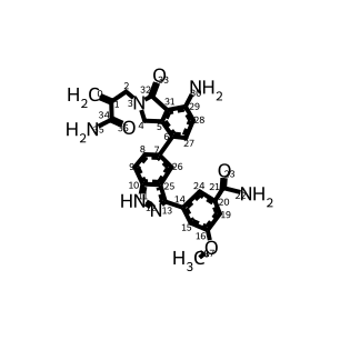 C=C(CN1Cc2c(-c3ccc4[nH]nc(-c5cc(OC)cc(C(N)=O)c5)c4c3)ccc(N)c2C1=O)C(N)=O